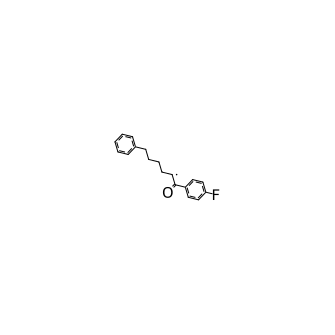 O=C([CH]CCCCc1ccccc1)c1ccc(F)cc1